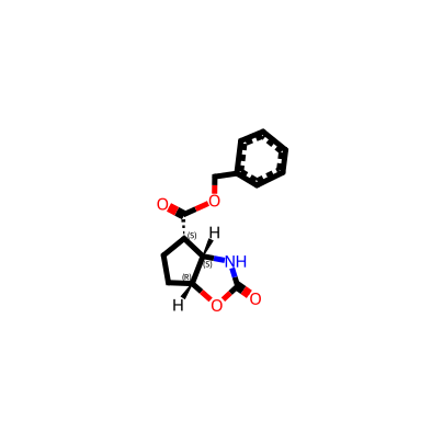 O=C1N[C@H]2[C@@H](C(=O)OCc3ccccc3)CC[C@H]2O1